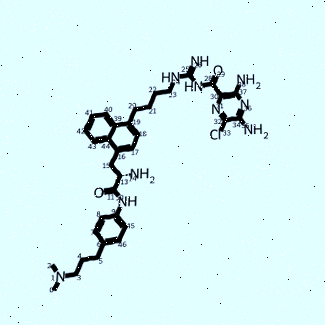 CN(C)CCCc1ccc(NC(=O)[C@@H](N)Cc2ccc(CCCCNC(=N)NC(=O)c3nc(Cl)c(N)nc3N)c3ccccc23)cc1